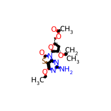 C=C(C)O[C@@H]1C[C@@H](COC(C)=O)O[C@H]1n1c(=O)sc2c(OCC)nc(N)nc21